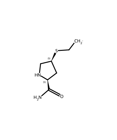 [CH2]CS[C@@H]1CN[C@H](C(N)=O)C1